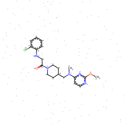 COc1nccc(N(C)CC2CCN(C(=O)CNc3ccccc3Cl)CC2)n1